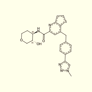 Cn1cc(-c2ccc(Cc3cc(C(=O)N[C@@H]4CCOC[C@H]4O)nc4ccsc34)cc2)nn1